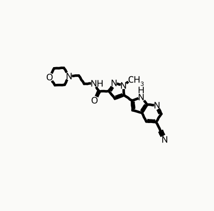 Cn1nc(C(=O)NCCN2CCOCC2)cc1-c1cc2cc(C#N)cnc2[nH]1